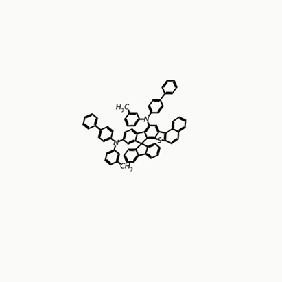 Cc1cccc(N(c2ccc(-c3ccccc3)cc2)c2ccc3c(c2)C2(c4ccccc4-c4ccccc42)c2c-3c(N(c3ccc(-c4ccccc4)cc3)c3cccc(C)c3)cc3c2sc2ccc4ccccc4c23)c1